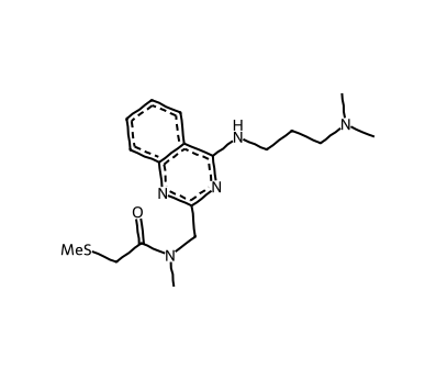 CSCC(=O)N(C)Cc1nc(NCCCN(C)C)c2ccccc2n1